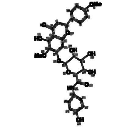 COc1ccc(-c2cc(=O)c3c(O)c(OC)c(OC4OC(C(=O)Nc5ccc(O)cc5)C(O)C(O)C4O)cc3o2)cc1